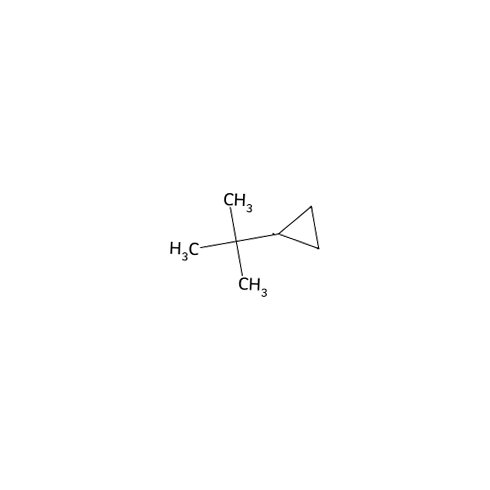 CC(C)(C)[C]1CC1